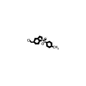 Cc1ccc(S(=O)(=O)n2ccc3cc(CCl)ccc32)cc1